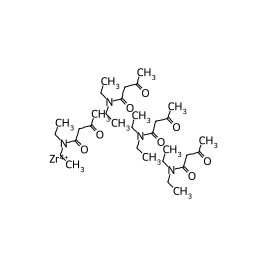 CCN(CC)C(=O)CC(C)=O.CCN(CC)C(=O)CC(C)=O.CCN(CC)C(=O)CC(C)=O.CCN(CC)C(=O)CC(C)=O.[Zr+4]